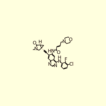 CN1C[C@]2(C#Cc3cc4ncnc(Nc5cccc(Cl)c5F)c4cc3NC(=O)/C=C/CN3CCOCC3)C[C@@H]2C1=O